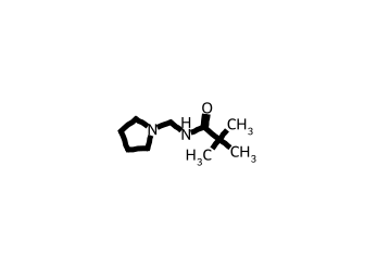 CC(C)(C)C(=O)NCN1CCCC1